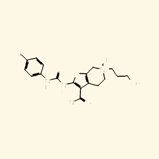 CCCC[N+]1(C)CCc2c(sc(NC(=O)Nc3ccc(Cl)cc3)c2C(N)=O)C1